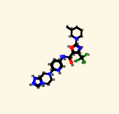 CC1CCCN(c2nc(C(F)(F)F)c(C(=O)Nc3ccc(N4CCn5cnnc5C4)nc3)o2)C1